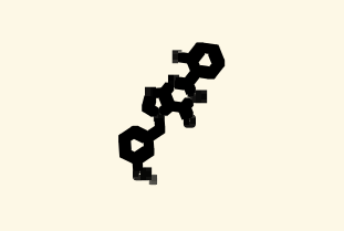 Cc1cccc(Cn2cnc3nc(-c4ccccc4F)[nH]c(=O)c32)c1